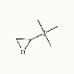 CS(C)(C)C1CO1